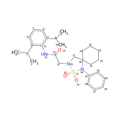 CC(C)c1cccc(C(C)C)c1NC(=O)CN1CC2(CCCCC2)N(c2ccccc2)S1(=O)=O